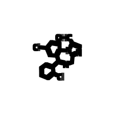 O=Cc1cnc2n1-c1ccc(Cl)cc1C(c1ccccc1Cl)=NC2